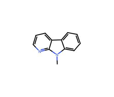 Cn1c2ccccc2c2cccnc21